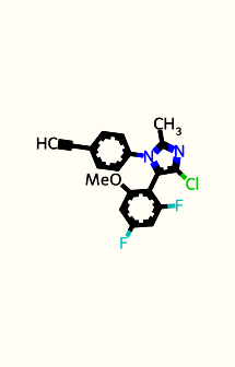 C#Cc1ccc(-n2c(C)nc(Cl)c2-c2c(F)cc(F)cc2OC)cc1